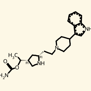 CC(OC(N)=O)[C@H]1CN[C@@H](CCN2CCC(c3c[nH]c4ccccc34)CC2)C1